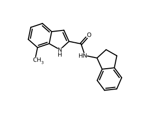 Cc1cccc2cc(C(=O)NC3CCc4ccccc43)[nH]c12